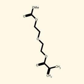 C=C(C)C(=O)OCCOCCOC(=O)OC